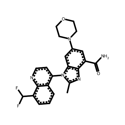 Cc1nc2c(C(N)=O)cc(N3CCOCC3)cc2n1-c1ccnc2c(C(F)F)cccc12